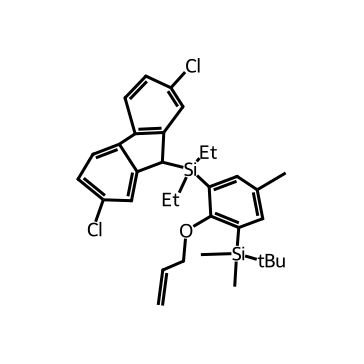 C=CCOc1c([Si](CC)(CC)C2c3cc(Cl)ccc3-c3ccc(Cl)cc32)cc(C)cc1[Si](C)(C)C(C)(C)C